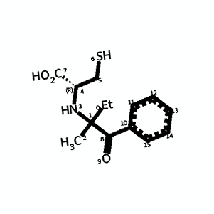 CCC(C)(N[C@@H](CS)C(=O)O)C(=O)c1ccccc1